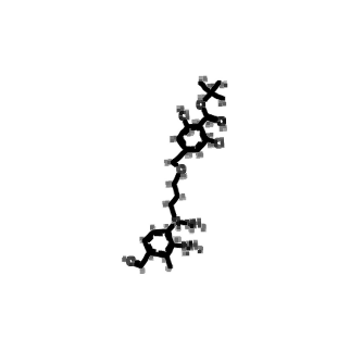 Cc1c(C=O)ccc(N(N)CCCOCc2cc(Cl)c(C(=O)OC(C)(C)C)c(Cl)c2)c1N